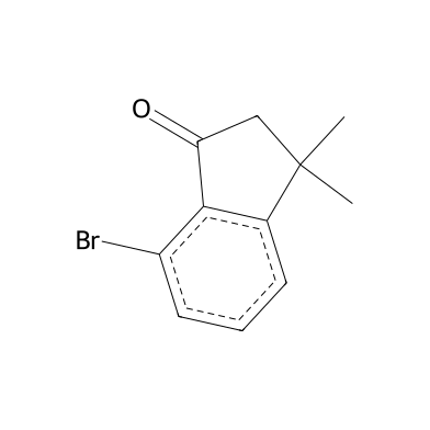 CC1(C)CC(=O)c2c(Br)cccc21